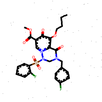 CCCCOc1c2n(cc(C(=O)OC)c1=O)N(S(=O)(=O)c1ccccc1F)CN(Cc1ccc(F)cc1)C2=O